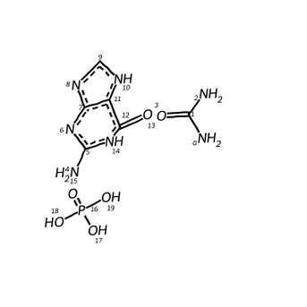 NC(N)=O.Nc1nc2nc[nH]c2c(=O)[nH]1.O=P(O)(O)O